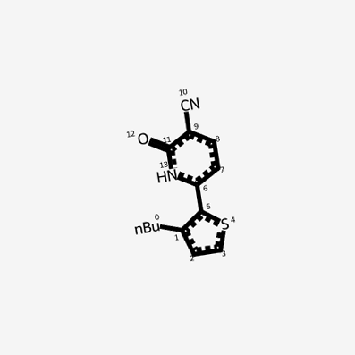 CCCCc1ccsc1-c1ccc(C#N)c(=O)[nH]1